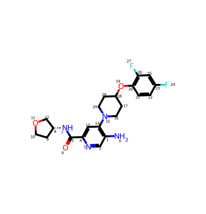 Nc1cnc(C(=O)N[C@@H]2CCOC2)cc1N1CCC(Oc2ccc(F)cc2F)CC1